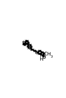 Cc1cc2ccc(OCCCCN3CCN(c4cccc5sccc45)CC3)cc2[nH]c1=O